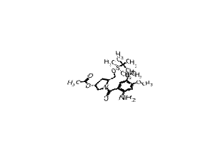 COc1cc(N)c(C(=O)N2C[C@H](OC(C)=O)C[C@H]2CO[Si](C)(C)C(C)(C)C)cc1OC